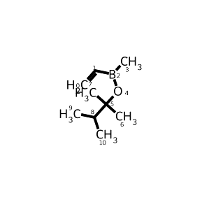 C=CB(C)OC(C)(C)C(C)C